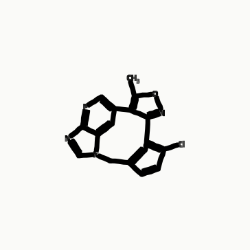 Cc1onc2c1-c1cpc3ncn(c3c1)Cc1ccc(Cl)c-2c1